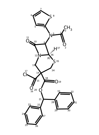 CC(=O)N(c1cccs1)C1C(=O)N2CC(C(=O)Cl)(C(=O)OC(c3ccccc3)c3ccccc3)CS[C@H]12